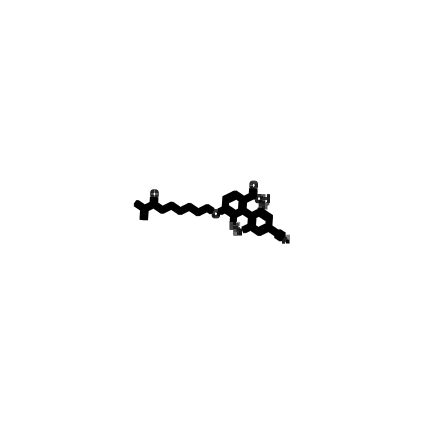 C=C(C)C(=O)CCCCCCOc1ccc(C(=O)O)c(-c2c(Br)cc(C#N)cc2Br)c1Br